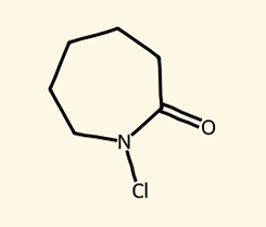 O=C1CCCCCN1Cl